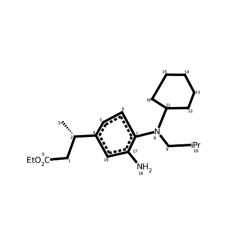 CCOC(=O)C[C@H](C)c1ccc(N(CC(C)C)C2CCCCC2)c(N)c1